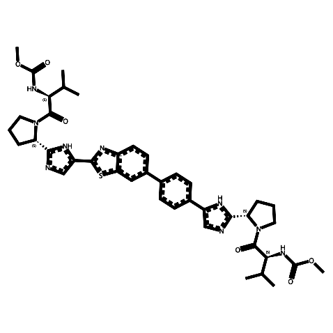 COC(=O)N[C@H](C(=O)N1CCC[C@H]1c1ncc(-c2ccc(-c3ccc4nc(-c5cnc([C@@H]6CCCN6C(=O)[C@@H](NC(=O)OC)C(C)C)[nH]5)sc4c3)cc2)[nH]1)C(C)C